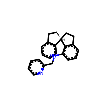 c1ccc(CNc2cccc3c2[C@]2(CCc4ccccc42)CC3)nc1